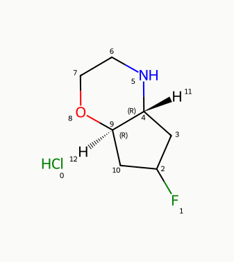 Cl.FC1C[C@H]2NCCO[C@@H]2C1